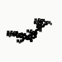 CCCCC(NC(=O)CCC(=O)O[C@]1(CC)C(=O)OCc2c1cc1n(c2=O)Cc2c-1nc1ccc(OC(=O)OC(C)(C)C)cc1c2CC)C(=O)OC(C)(C)C